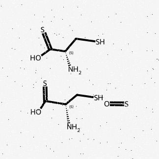 N[C@@H](CS)C(O)=S.N[C@@H](CS)C(O)=S.O=S